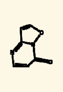 O=c1[c]cnc2ccon12